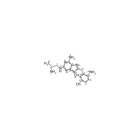 CC(N)CNc1nc(N)c2nc(Cc3cc(Cl)ccc3N)n(C)c2n1